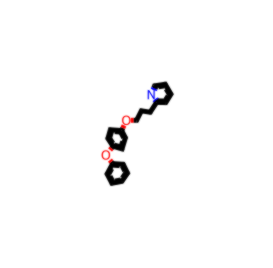 c1ccc(Oc2ccc(OCCCc3ccccn3)cc2)cc1